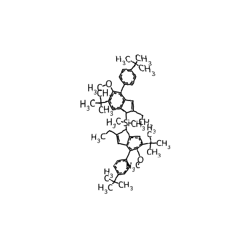 CCC1=Cc2c(cc(C(C)(C)C)c(OC)c2-c2ccc(C(C)(C)C)cc2)C1[Si](C)(C)C1C(CC)=Cc2c1cc(C(C)(C)C)c(OC)c2-c1ccc(C(C)(C)C)cc1